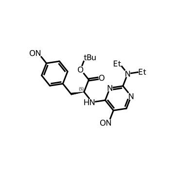 CCN(CC)c1ncc(N=O)c(N[C@@H](Cc2ccc(N=O)cc2)C(=O)OC(C)(C)C)n1